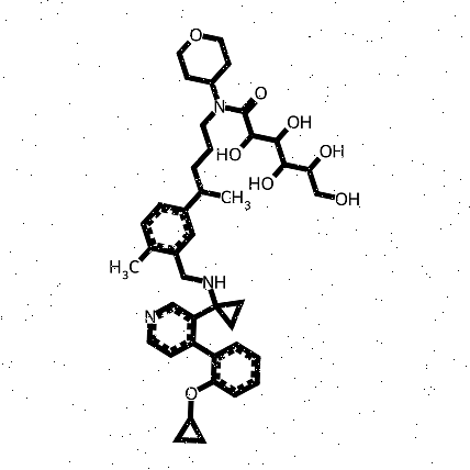 Cc1ccc(C(C)CCCN(C(=O)C(O)C(O)C(O)C(O)CO)C2CCOCC2)cc1CNC1(c2cnccc2-c2ccccc2OC2CC2)CC1